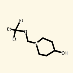 CCC(CC)(CC)OCN1CCC(O)CC1